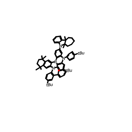 CC(C)(C)c1ccc(N2c3cc(N4c5ccccc5C5(C)CCCCCC45C)ccc3B3c4cc5c(cc4N(c4ccc(C(C)(C)C)cc4-c4ccccc4)c4cc(C(C)(C)C)cc2c43)C(C)(C)CCC5(C)C)cc1